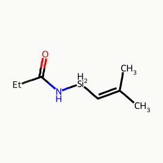 CCC(=O)N[SiH2]C=C(C)C